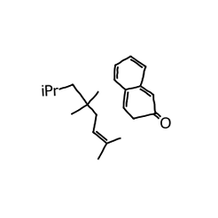 CC(C)=CCC(C)(C)CC(C)C.O=C1C=c2ccccc2=CC1